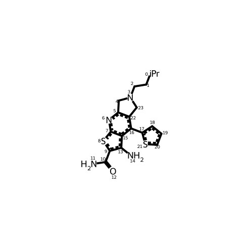 CC(C)CCN1Cc2nc3sc(C(N)=O)c(N)c3c(-c3cccs3)c2C1